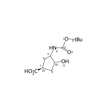 CC(C)(C)OC(=O)NC1C[C@H](C(=O)O)CC1O